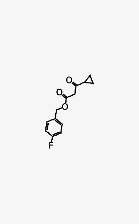 O=C(CC(=O)C1CC1)OCc1ccc(F)cc1